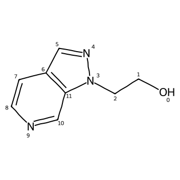 OCCn1ncc2ccncc21